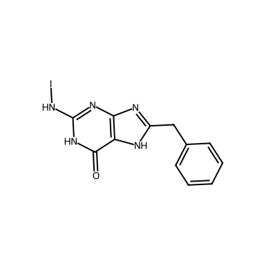 O=c1[nH]c(NI)nc2nc(Cc3ccccc3)[nH]c12